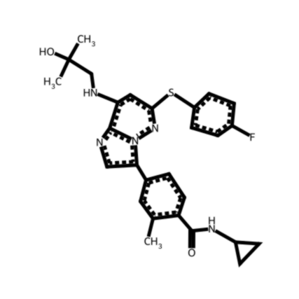 Cc1cc(-c2cnc3c(NCC(C)(C)O)cc(Sc4ccc(F)cc4)nn23)ccc1C(=O)NC1CC1